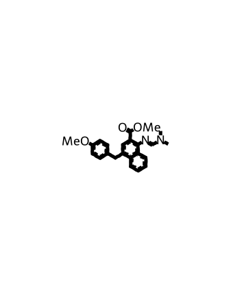 COC(=O)c1cc(Cc2ccc(OC)cc2)c2ccccc2c1N=CN(C)C